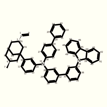 C=C[C@H]1CC2C[C@H](C)CC(c3cccc(N(c4ccc(-c5ccccc5)cc4)c4cccc(-c5cccc(-n6c7ccccc7c7ccccc76)c5)c4)c3)(C2)C1